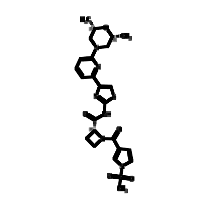 C[C@@H]1CN(c2cccc(-c3csc(NC(=O)[C@H]4CCN4C(=O)c4ccn(S(C)(=O)=O)c4)n3)n2)C[C@H](C)O1